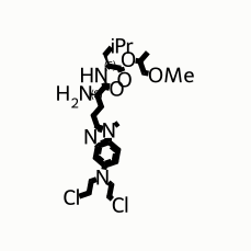 COCC(C)OC(=O)[C@H](CC(C)C)NC(=O)[C@@H](N)CCc1nc2cc(N(CCCl)CCCl)ccc2n1C